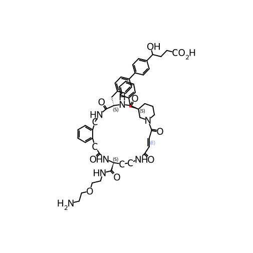 NCCOCCNC(=O)[C@@H]1CCNC(=O)/C=C/C(=O)N2CCC[C@](Cc3ccccc3)(C2)C(=O)N[C@@H](Cc2ccc(-c3ccc(C(O)CCC(=O)O)cc3)cc2)C(=O)NCc2ccccc2CC(=O)N1